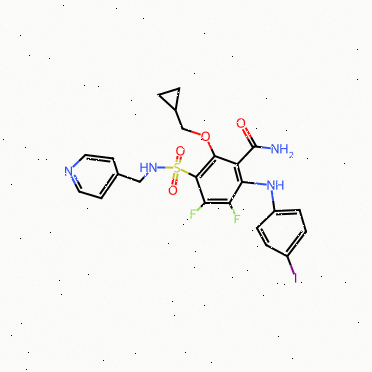 NC(=O)c1c(Nc2ccc(I)cc2)c(F)c(F)c(S(=O)(=O)NCc2ccncc2)c1OCC1CC1